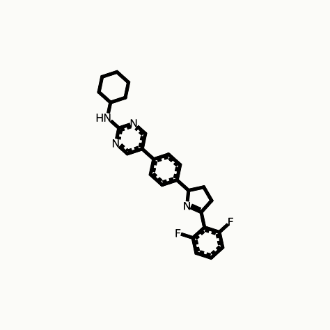 Fc1cccc(F)c1C1=NC(c2ccc(-c3cnc(NC4CCCCC4)nc3)cc2)CC1